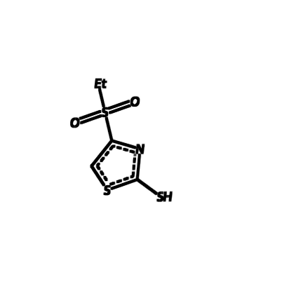 CCS(=O)(=O)c1csc(S)n1